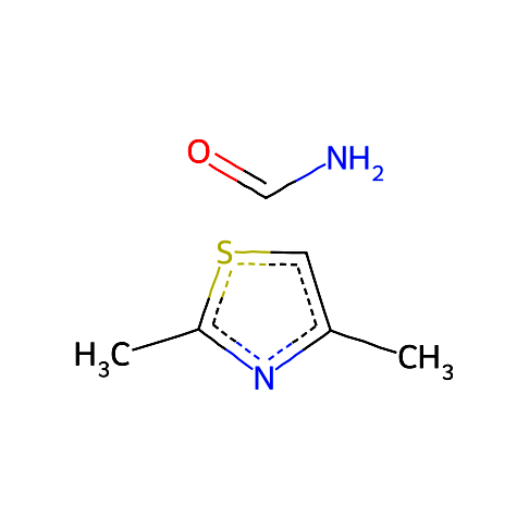 Cc1csc(C)n1.NC=O